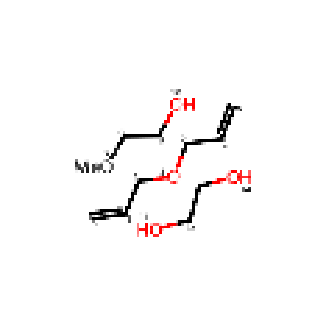 C=CCOCC=C.COCCO.OCCO